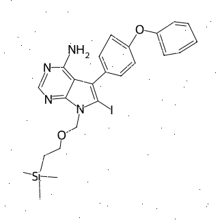 C[Si](C)(C)CCOCn1c(I)c(-c2ccc(Oc3ccccc3)cc2)c2c(N)ncnc21